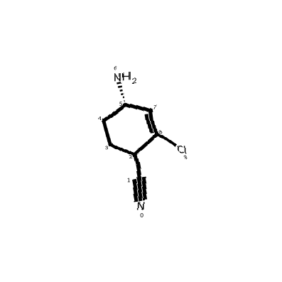 N#CC1CC[C@H](N)C=C1Cl